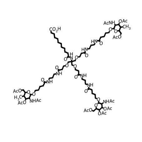 CC(=O)NC1C(OCCCCC(=O)NCCCNC(=O)CCOCC(COCCC(=O)NCCCNC(=O)CCCCOC2OC(COC(C)=O)C(C)C(OC(C)=O)C2NC(C)=O)(COCCC(=O)NCCCNC(=O)CCCCOC2OC(COC(C)=O)C(OC(C)=O)C(OC(C)=O)C2NC(C)=O)NC(=O)CCCCCCCCCCC(=O)O)OC(COC(C)=O)C(C)C1OC(C)=O